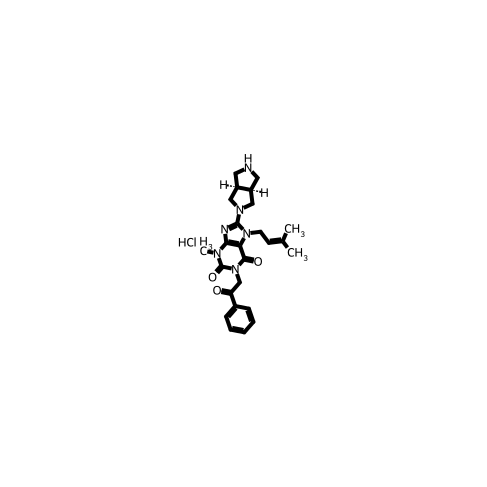 CC(C)=CCn1c(N2C[C@H]3CNC[C@H]3C2)nc2c1c(=O)n(CC(=O)c1ccccc1)c(=O)n2C.Cl